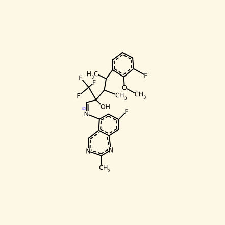 COc1c(F)cccc1C(C)C(C)C(O)(/C=N\c1cc(F)cc2nc(C)ncc12)C(F)(F)F